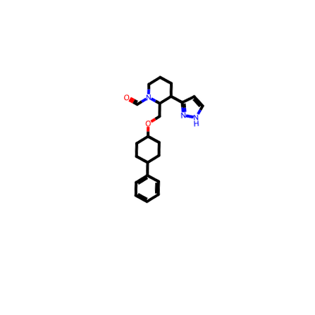 O=CN1CCCC(c2cc[nH]n2)C1COC1CCC(c2ccccc2)CC1